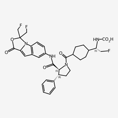 O=C(O)N[C@H](CF)C1CCC(C(=O)N2CC[C@H](c3ccccc3)[C@H]2C(=O)Nc2ccc3c(c2)cc2n3C(CF)(CF)OC2=O)CC1